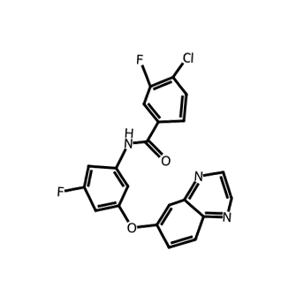 O=C(Nc1cc(F)cc(Oc2ccc3nccnc3c2)c1)c1ccc(Cl)c(F)c1